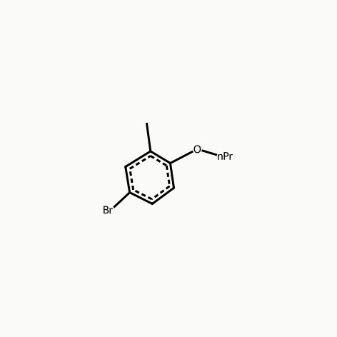 CCCOc1ccc(Br)cc1C